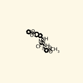 CS(=O)(=O)c1cccc(CNc2nc(Nc3ccc4c(c3)CCN(S(=O)(=O)c3ccccc3)CC4)ncc2C(F)(F)F)c1